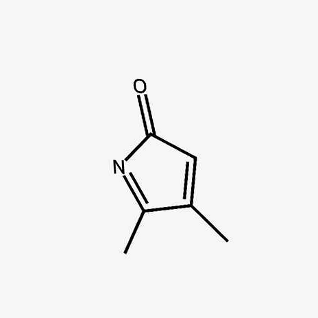 CC1=CC(=O)N=C1C